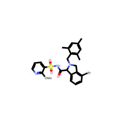 COc1ncccc1S(=O)(=O)NC(=O)C1c2cccc(C(C)C)c2CN1Cc1c(C)cc(C)cc1C